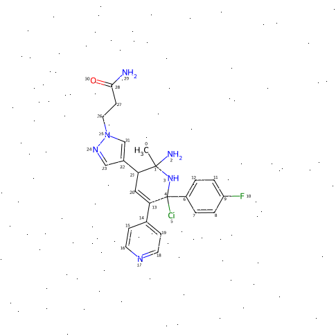 CC1(N)NC(Cl)(c2ccc(F)cc2)C(c2ccncc2)=CC1c1cnn(CCC(N)=O)c1